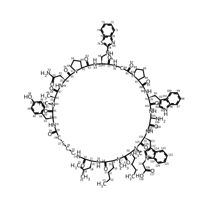 CCCC[C@H]1C(=O)N(C)[C@@H](CCCC)C(=O)N[C@@H](CC(C)C)C(=O)NCCSCC(=O)N[C@@H](Cc2ccc(O)cc2)C(=O)N(C)[C@@H](C)C(=O)N[C@@H](CC(N)=O)C(=O)N2CCCC2C(=O)N[C@@H](CNc2nc3ccccc3s2)C(=O)NCC(=O)N2CCCC2C(=O)N[C@@H](Cc2c[nH]c3ccccc23)C(=O)NC(N)C(=O)N[C@@H](Cc2cn(CC(=O)O)c3ccccc23)C(=O)N1C